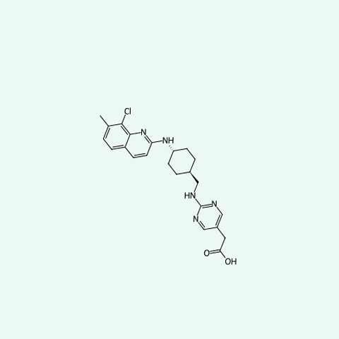 Cc1ccc2ccc(N[C@H]3CC[C@H](CNc4ncc(CC(=O)O)cn4)CC3)nc2c1Cl